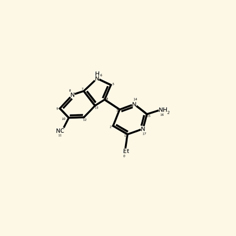 CCc1cc(-c2c[nH]c3ncc(C#N)cc23)nc(N)n1